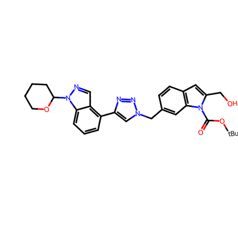 CC(C)(C)OC(=O)n1c(CO)cc2ccc(Cn3cc(-c4cccc5c4cnn5C4CCCCO4)nn3)cc21